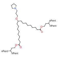 CCCCCC(CCCCC)CCOC(=O)CCCCCCCCC(CCCCCCCCC(=O)OCCC(CCCCC)CCCCC)OCCCN1CCCC1